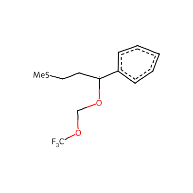 CSCC[C](OCOC(F)(F)F)c1ccccc1